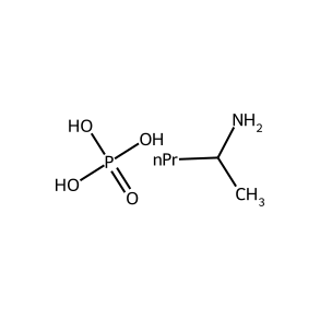 CCCC(C)N.O=P(O)(O)O